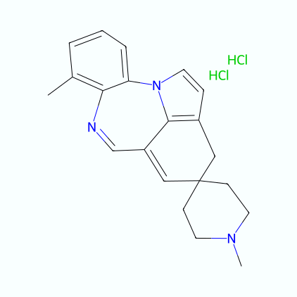 Cc1cccc2c1N=CC1=CC3(CCN(C)CC3)Cc3ccn-2c31.Cl.Cl